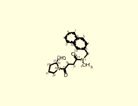 CN(Cc1ccc2ccccc2c1)C(=O)CCC(=O)N1CCC[C@H]1C=O